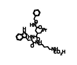 CC(C)CC(CC(=O)NOCc1ccccc1)C(=O)N[C@H](Cc1c[nH]c2ccccc12)C(=O)NCCCCCNC(=O)O